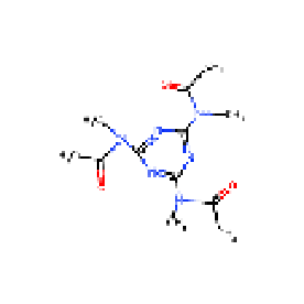 CC(=O)N(C)c1nc(N(C)C(C)=O)nc(N(C)C(C)=O)n1